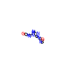 N#Cc1cnn2cc(-c3cnn(C4CCC(=O)CC4)c3)nc(-c3ccc(N4CCC5(CC4)OCc4cccnc45)nc3)c12